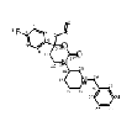 C=CCC1(c2ccc(F)cc2)CCN(C2CCCN(Cc3ccccc3)C2)C(=O)O1